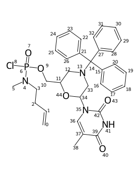 C=CCCN(C)P(=O)(Cl)OCC1CN(C(c2ccccc2)(c2ccccc2)c2ccccc2)CC(n2cc(C)c(=O)[nH]c2=O)O1